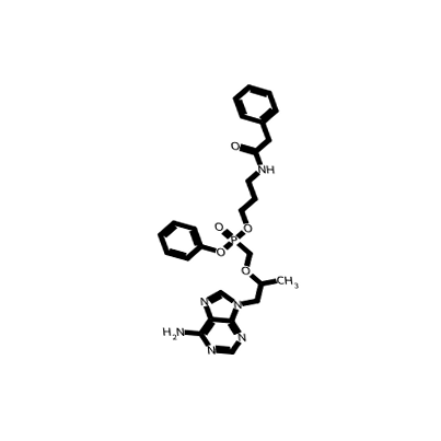 CC(Cn1cnc2c(N)ncnc21)OCP(=O)(OCCCNC(=O)Cc1ccccc1)Oc1ccccc1